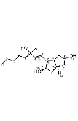 CCCCCC(C)(O)/C=C/[C@@H]1C2CC(O)O[C@H]2C[C@H]1O